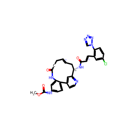 COC(=O)Nc1ccc2c(c1)NC(=O)CC/C=C/C[C@H](NC(=O)/C=C/c1cc(Cl)ccc1-n1cnnn1)c1cc-2ccn1